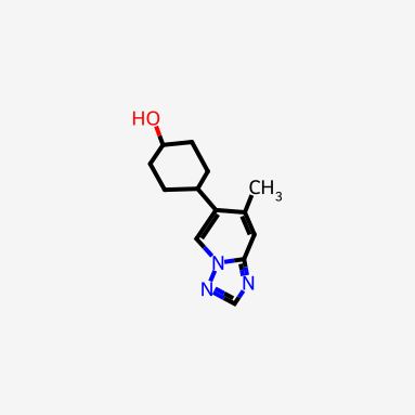 Cc1cc2ncnn2cc1C1CCC(O)CC1